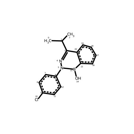 CC(C)C1=NN(c2ccc(Cl)cc2)B(O)c2ccccc21